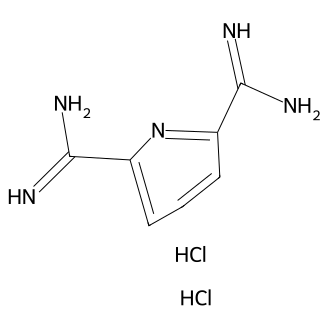 Cl.Cl.N=C(N)c1cccc(C(=N)N)n1